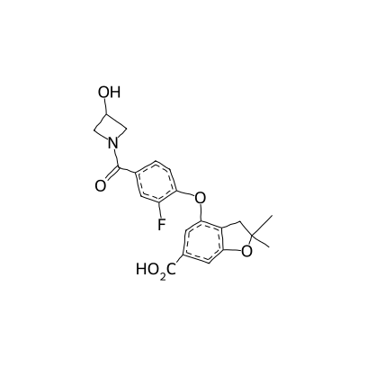 CC1(C)Cc2c(Oc3ccc(C(=O)N4CC(O)C4)cc3F)cc(C(=O)O)cc2O1